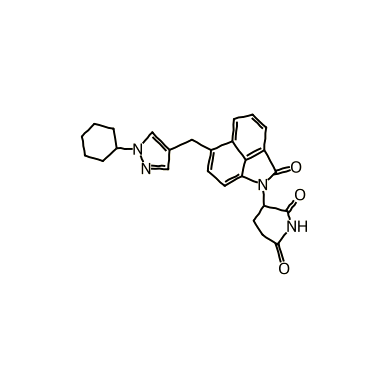 O=C1CCC(N2C(=O)c3cccc4c(Cc5cnn(C6CCCCC6)c5)ccc2c34)C(=O)N1